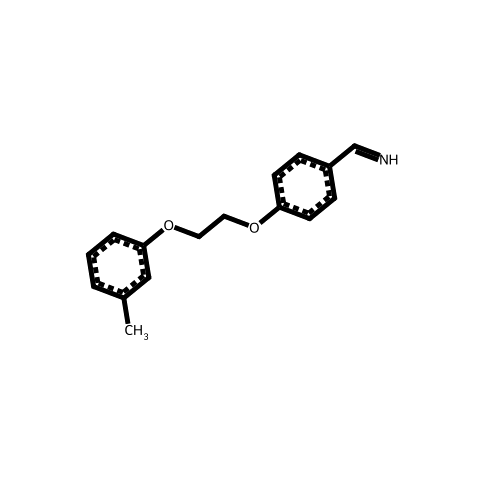 Cc1cccc(OCCOc2ccc(C=N)cc2)c1